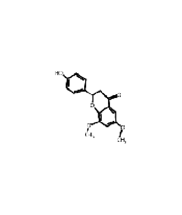 COc1cc(OC)c2c(c1)C(=O)C[C@H](c1ccc(O)cc1)O2